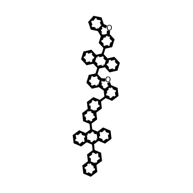 c1ccc2cc(-c3c4ccccc4c(-c4ccc5ccc(-c6cccc7oc8c(-c9c%10ccccc%10c(-c%10ccc%11oc%12ccccc%12c%11c%10)c%10ccccc9%10)cccc8c67)cc5c4)c4ccccc34)ccc2c1